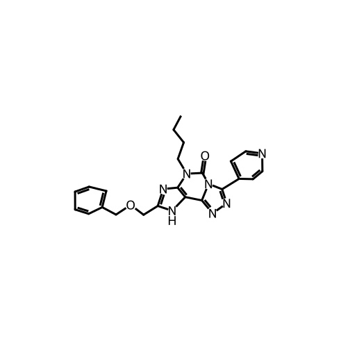 CCCCn1c(=O)n2c(-c3ccncc3)nnc2c2[nH]c(COCc3ccccc3)nc21